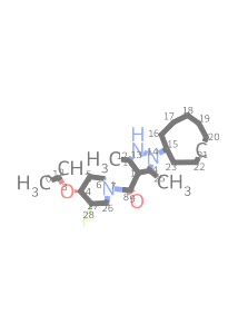 CC(C)O[C@H]1CCN(C(=O)C2C(C)NN(C3CCCCCCCC3)C2C)C[C@H]1F